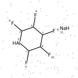 F[CH]1[AlH][CH](F)C(F)C(F)C1F.[NaH]